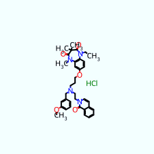 CCN1C(=O)C(C)(C)C(=O)N(C)c2cc(OCCCN(CCn3ccc4ccccc4c3=O)Cc3cccc(OC)c3)ccc21.Cl